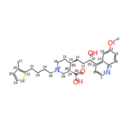 COc1ccc2nccc([C@@H](O)CC[C@@H]3CCN(CCCCc4sccc4C)C[C@@H]3C(=O)O)c2c1